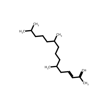 [CH]=C(C)/C=C/CC(C)CCCC(C)CCCC(C)C